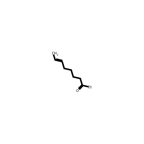 CC=CCCCCC(=O)CC